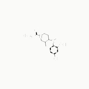 CC1CN(C(=O)OC(C)(C)C)CCC1N(C)c1ccc(Cl)cc1O